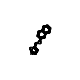 c1ccc2cc(OCc3ccno3)ccc2c1